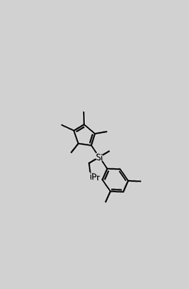 CC1=C(C)C(C)C([Si](C)(CC(C)C)c2cc(C)cc(C)c2)=C1C